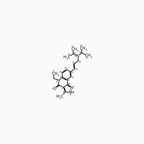 CCn1c(=O)c2c(C)[nH]nc2c2cc(/C=C/CN(C(C)C)C(C)C)ccc21